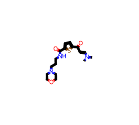 CN(C)C=CC(=O)c1ccc(C(=O)NCCCN2CCOCC2)s1